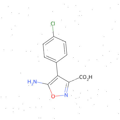 Nc1onc(C(=O)O)c1-c1ccc(Cl)cc1